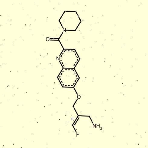 NC/C(=C\F)COc1ccc2nc(C(=O)N3CCCCC3)ccc2c1